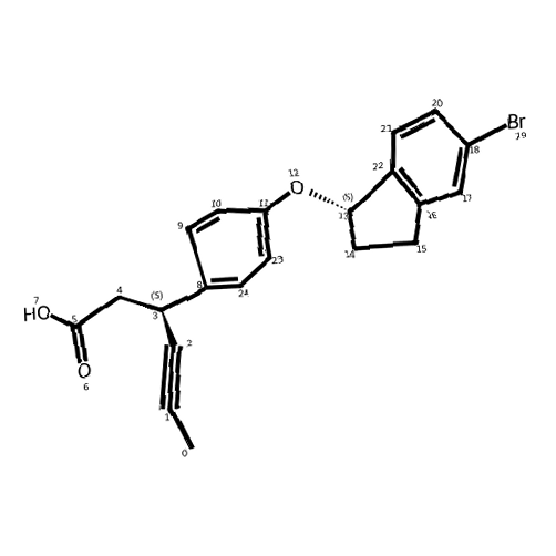 CC#C[C@@H](CC(=O)O)c1ccc(O[C@H]2CCc3cc(Br)ccc32)cc1